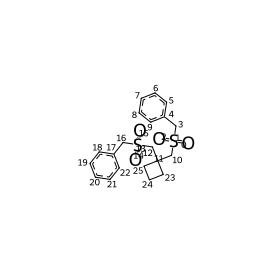 O=S(=O)(Cc1ccccc1)CC1(CS(=O)(=O)Cc2ccccc2)CCC1